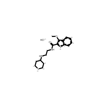 COc1c(C(=O)NCCNC2CCSCC2)sc2ccccc12.Cl